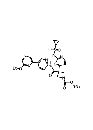 CCOc1cncc(-c2ccc(NC(=O)C3(c4ccnc(NS(=O)(=O)C5CC5)n4)CN(C(=O)OC(C)(C)C)C3)nc2)n1